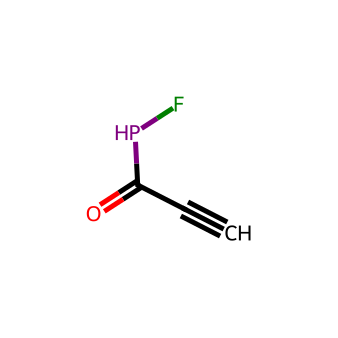 C#CC(=O)PF